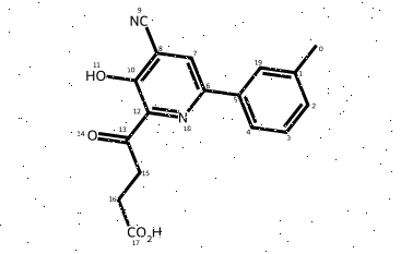 Cc1cccc(-c2cc(C#N)c(O)c(C(=O)CCC(=O)O)n2)c1